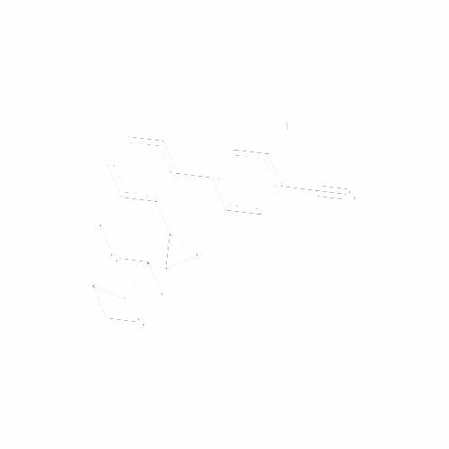 N#Cc1ccc(-c2cccc(CN3C4CNCC3C4)c2C2CC2)cc1F